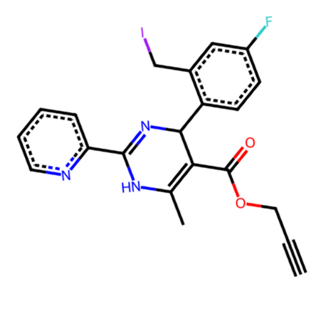 C#CCOC(=O)C1=C(C)NC(c2ccccn2)=NC1c1ccc(F)cc1CI